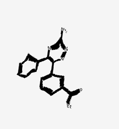 CCC(=O)c1cccc(-c2nnc(N)nc2-c2ccccc2)c1